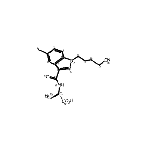 Cc1ccc2c(c1)c(C(=O)N[C@H](C(=O)O)C(C)(C)C)nn2CCCCC#N